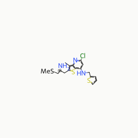 CSC[C@H](N)Cc1sc2c(NCc3cccs3)cc(Cl)nc2c1C